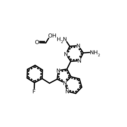 Nc1nc(N)nc(-c2nc(Cc3ccccc3F)n3ncccc23)n1.O=CO